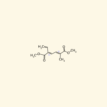 C=C/C(=C\C=C(/C)C(=O)OC)C(=O)OC